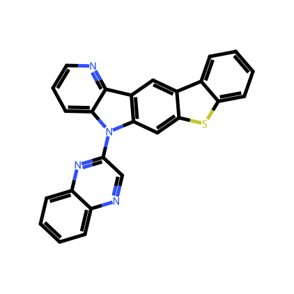 c1ccc2nc(-n3c4cc5sc6ccccc6c5cc4c4ncccc43)cnc2c1